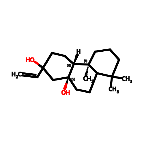 C=CC1(O)CC[C@H]2[C@](O)(CCC3C(C)(C)CCC[C@@]32C)C1